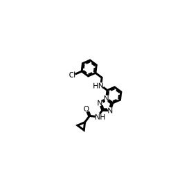 O=C(Nc1nc2cccc(NCc3cccc(Cl)c3)n2n1)C1CC1